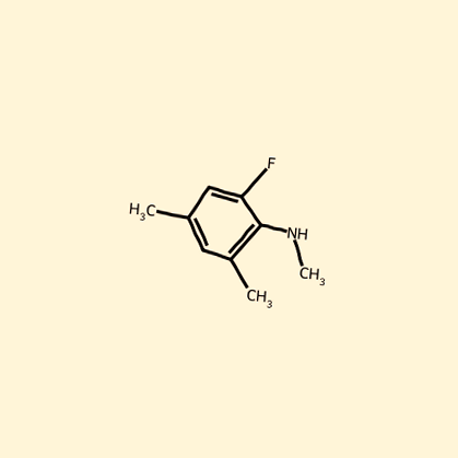 CNc1c(C)cc(C)cc1F